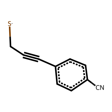 N#Cc1ccc(C#CC[S])cc1